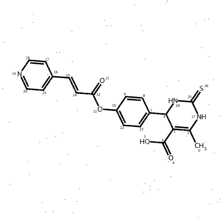 CC1=C(C(=O)O)C(c2ccc(OC(=O)C=Cc3ccncc3)cc2)NC(=S)N1